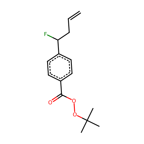 C=CCC(F)c1ccc(C(=O)OOC(C)(C)C)cc1